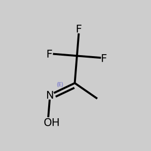 C/C(=N\O)C(F)(F)F